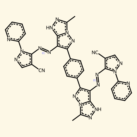 Cc1n[nH]c2c(/N=N/c3c(C#N)cnn3-c3ccccn3)c(-c3ccc(-c4nn5c(C)n[nH]c5c4/N=N/c4c(C#N)cnn4-c4ccccn4)cc3)nn12